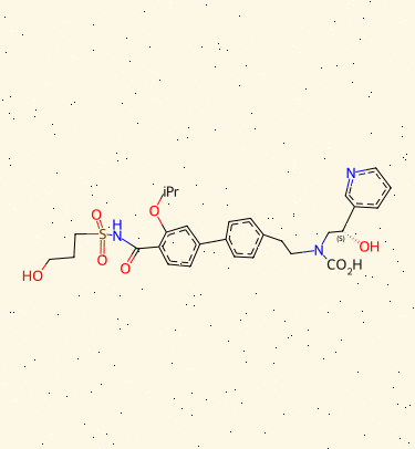 CC(C)Oc1cc(-c2ccc(CCN(C[C@@H](O)c3cccnc3)C(=O)O)cc2)ccc1C(=O)NS(=O)(=O)CCCO